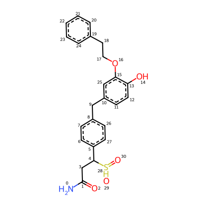 NC(=O)CC(c1ccc(Cc2ccc(O)c(OCCc3ccccc3)c2)cc1)[SH](=O)=O